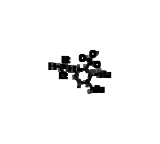 CCCCc1cccc(S(=O)(=O)[O-])c1CCCC.CC[P+](CC)(CC)CC